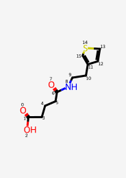 O=C(O)CCCC(=O)NCCc1ccsc1